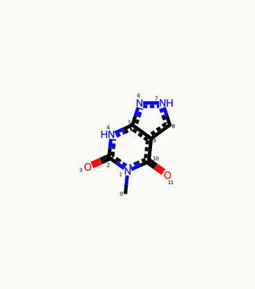 Cn1c(=O)[nH]c2n[nH]cc2c1=O